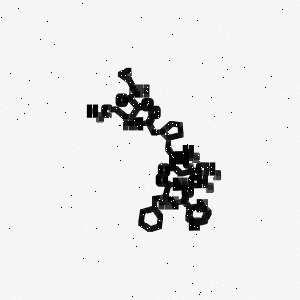 CCC[C@H](NC(=O)C[C@H]1CCC[C@H]1CNC(=O)[C@@H](NC(=O)[C@H](CC1CCCCC1)NC(=O)c1cnccn1)C(C)(C)C)C(=O)C(=O)NC1CC1